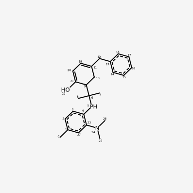 Cc1ccc(PC(C)(C)C2CC(Cc3ccccc3)=CC=C2O)c(N(C)C)c1